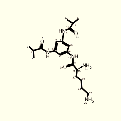 CC(C)C(=O)Nc1cc(NC(=O)C(C)C)cc(NC(=O)[C@@H](N)CCCCN)c1